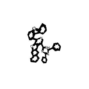 c1ccc(C2=NC(c3ccccc3)NC(c3cnc(-c4cccc5oc6ccccc6c45)c4oc5cc6ccccc6cc5c34)=N2)cc1